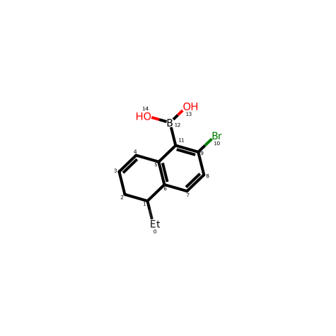 CCC1CC=Cc2c1ccc(Br)c2B(O)O